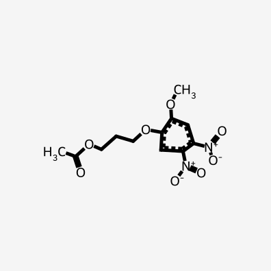 COc1cc([N+](=O)[O-])c([N+](=O)[O-])cc1OCCCOC(C)=O